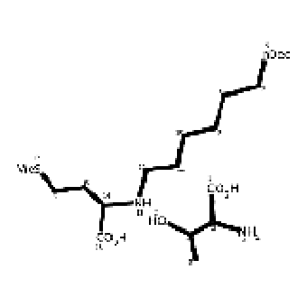 CC(O)C(N)C(=O)O.CCCCCCCCCCCCCCCCNC(CCSC)C(=O)O